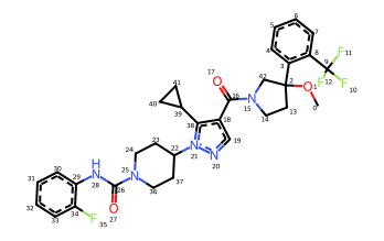 COC1(c2ccccc2C(F)(F)F)CCN(C(=O)c2cnn(C3CCN(C(=O)Nc4ccccc4F)CC3)c2C2CC2)C1